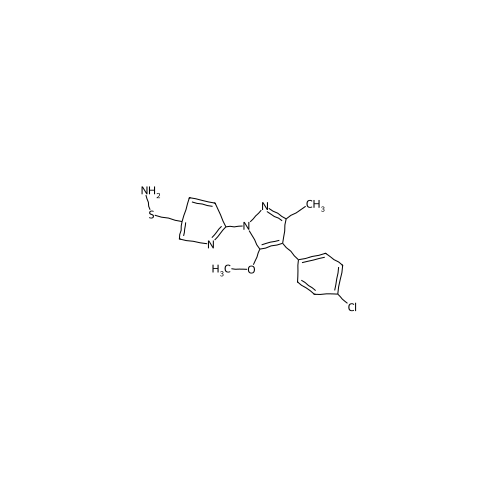 COc1c(-c2ccc(Cl)cc2)c(C)nn1-c1ccc(SN)cn1